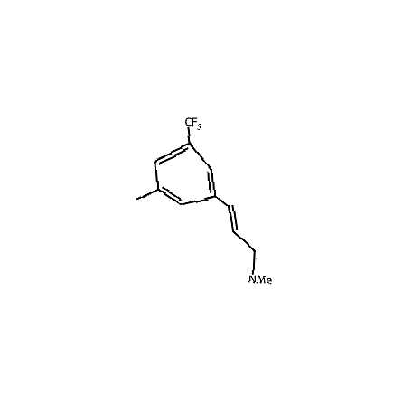 CNCC=Cc1cc(C)cc(C(F)(F)F)c1